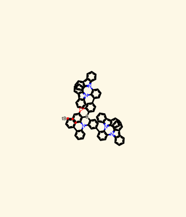 CC(C)(C)c1cc2c3c(c1)N(c1ccccc1-c1ccccc1)c1cc(-c4cccc(-n5c6ccccc6c6ccccc65)c4-n4c5ccccc5c5ccccc54)ccc1B3c1ccc(-c3cccc(-n4c5ccccc5c5ccccc54)c3-n3c4ccccc4c4ccccc43)cc1O2